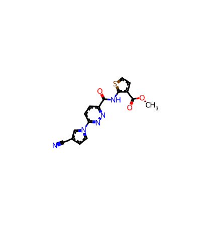 COC(=O)c1ccsc1NC(=O)c1ccc(-n2ccc(C#N)c2)nn1